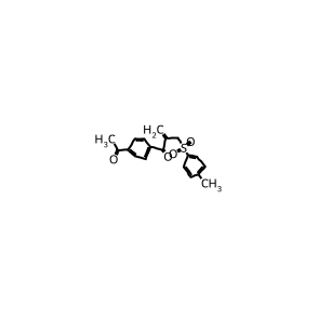 C=C(CS(=O)(=O)c1ccc(C)cc1)C(=O)c1ccc(C(C)=O)cc1